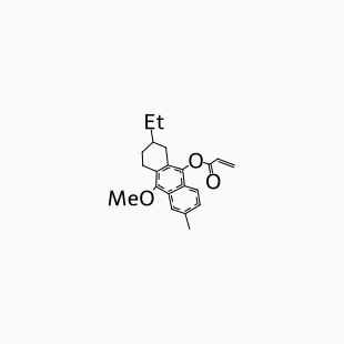 C=CC(=O)Oc1c2c(c(OC)c3cc(C)ccc13)CCC(CC)C2